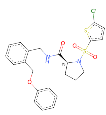 O=C(NCc1ccccc1COc1ccccc1)[C@@H]1CCCN1S(=O)(=O)c1ccc(Cl)s1